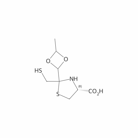 CC1OC(C2(CS)N[C@H](C(=O)O)CS2)O1